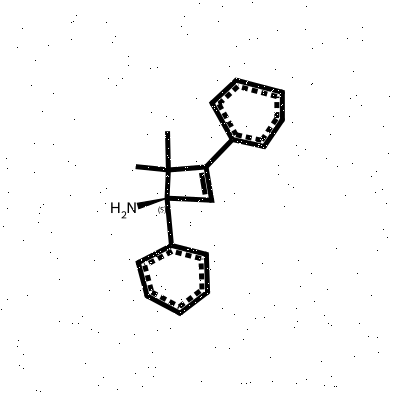 CC1(C)C(c2ccccc2)=C[C@]1(N)c1ccccc1